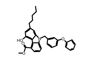 CCCCCc1cc(O)c2c3c(C(=O)OC)cccc3n(Cc3cccc(Oc4ccccc4)c3)c2c1